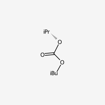 [CH2][C@@H](C)OC(=O)OC(C)CC